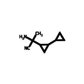 CC(N)(C#N)C1CC1C1CC1